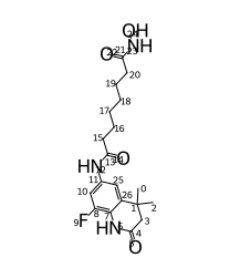 CC1(C)CC(=O)Nc2c(F)cc(NC(=O)CCCCCCC(=O)NO)cc21